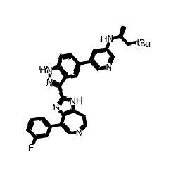 C=C(CC(C)(C)C)Nc1cncc(-c2ccc3[nH]nc(-c4nc5c([nH]4)CC=NC=C5c4cccc(F)c4)c3c2)c1